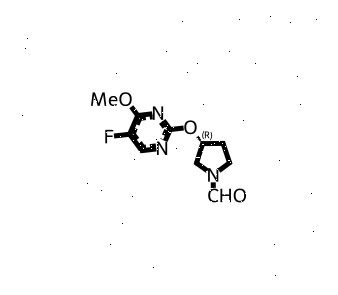 COc1nc(O[C@@H]2CCN(C=O)C2)ncc1F